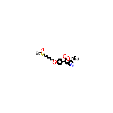 CCCCc1cncc2cc(-c3ccc(OCCCCCCCSC(=O)CC)cc3)c(=O)oc12